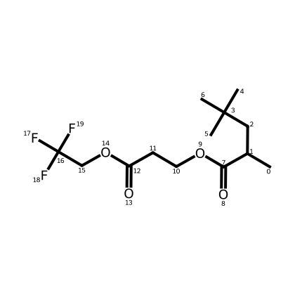 CC(CC(C)(C)C)C(=O)OCCC(=O)OCC(F)(F)F